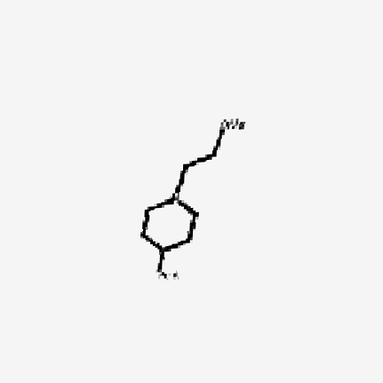 CCCC(C)C1CCN(CCOC)CC1